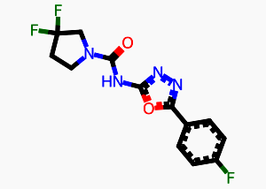 O=C(Nc1nnc(-c2ccc(F)cc2)o1)N1CCC(F)(F)C1